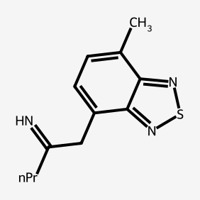 CCCC(=N)Cc1ccc(C)c2nsnc12